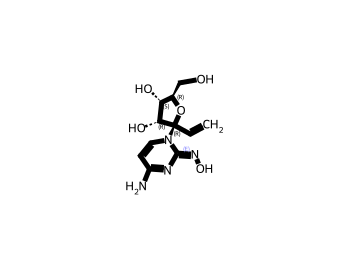 C=C[C@@]1(n2ccc(N)n/c2=N\O)O[C@H](CO)[C@@H](O)[C@H]1O